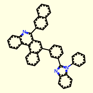 c1ccc(-n2c(-c3cccc(-c4cc5c(-c6ccc7ccccc7c6)nc6ccccc6c5c5ccccc45)c3)nc3ccccc32)cc1